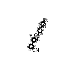 CCc1cnc(N2CCC(COc3c(F)cc(-c4cccc(C#N)c4)cc3F)CC2)nc1